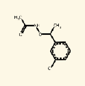 CC(=O)NOC(C)c1cccc(Cl)c1